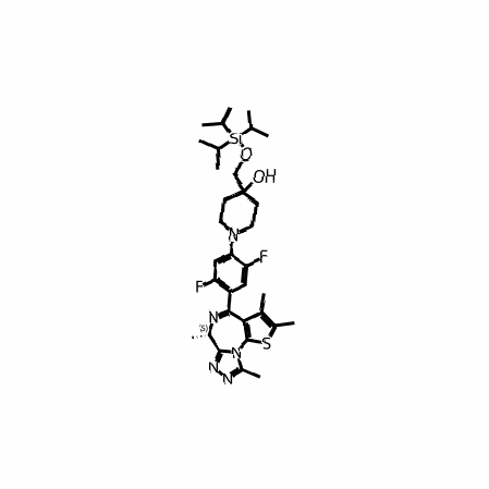 Cc1sc2c(c1C)C(c1cc(F)c(N3CCC(O)(CO[Si](C(C)C)(C(C)C)C(C)C)CC3)cc1F)=N[C@@H](C)c1nnc(C)n1-2